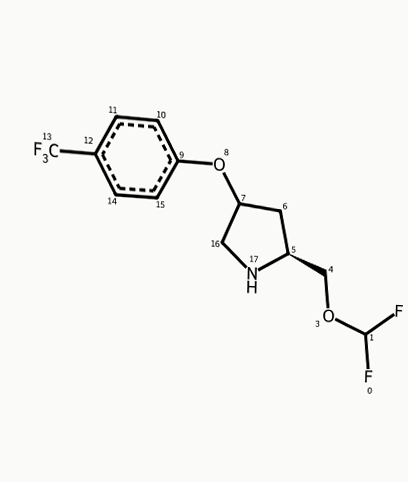 FC(F)OC[C@@H]1CC(Oc2ccc(C(F)(F)F)cc2)CN1